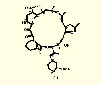 C=C(C)C[C@@H]1/C=C(\C)C[C@H](C)C[C@H](OC)[C@H]2O[C@@](O)(C(=O)C(=O)N3CCCC[C@H]3C(=O)O[C@H](/C(C)=C/[C@@H]3CC[C@@H](O)[C@H](OC)C3)[C@H](C)[C@@H](O)CC1=O)[C@H](C)C[C@@H]2OC